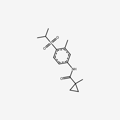 Cc1cc(NC(=O)C2(C)CC2)ccc1S(=O)(=O)C(C)C